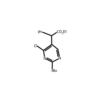 CCOC(=O)C(c1cnc(C(C)(C)C)nc1Cl)C(C)C